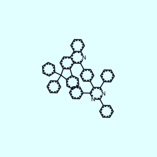 c1ccc(-c2nc(-c3ccccc3)c(-c3ccc(-c4nc5ccccc5c5ccc6c(c45)-c4ccccc4C6(c4ccccc4)c4ccccc4)cc3)c(-c3ccccc3)n2)cc1